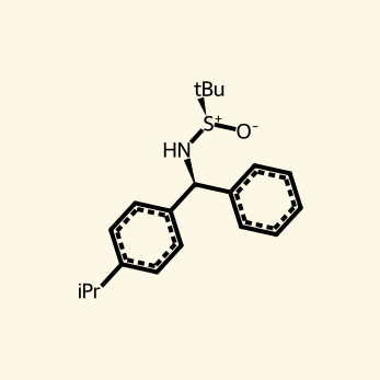 CC(C)c1ccc([C@@H](N[S@+]([O-])C(C)(C)C)c2ccccc2)cc1